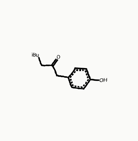 CCC(C)CC(=O)Cc1ccc(O)cc1